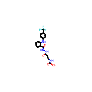 O=C(O)NCCC(=O)NNC(=O)c1ccccc1Nc1ccc(C(F)(F)F)cc1